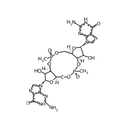 CP1(=O)OC[C@H]2O[C@@H](n3cnc4c(=O)[nH]c(N)nc43)C(O)[C@H]2OP(C)(=O)OC[C@H]2O[C@@H](n3cnc4c(=O)[nH]c(N)nc43)C(O)[C@H]2O1